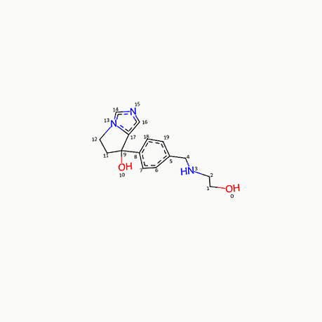 OCCNCc1ccc(C2(O)CCn3cncc32)cc1